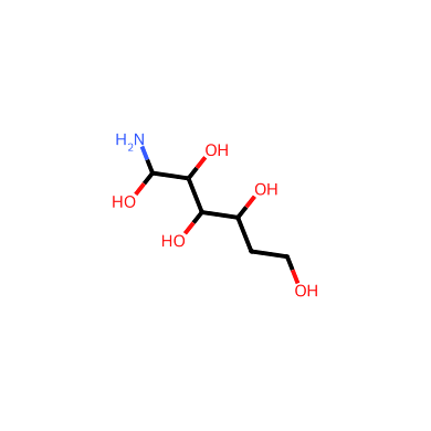 NC(O)C(O)C(O)C(O)CCO